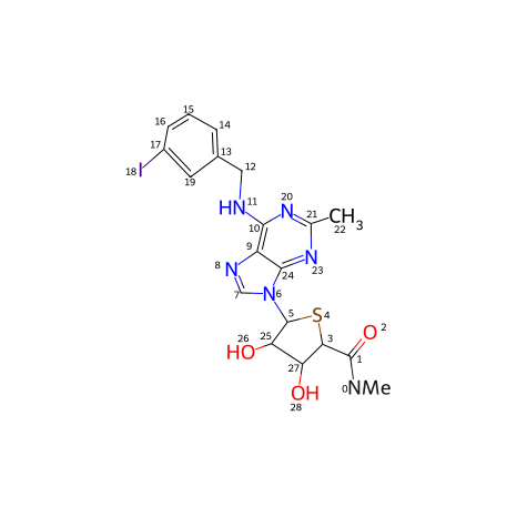 CNC(=O)C1SC(n2cnc3c(NCc4cccc(I)c4)nc(C)nc32)C(O)C1O